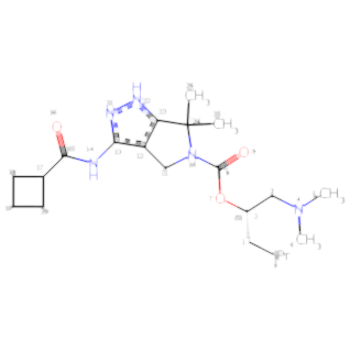 CC(C)C[C@@H](CN(C)C)OC(=O)N1Cc2c(NC(=O)C3CCC3)n[nH]c2C1(C)C